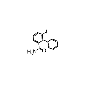 NC(=O)c1cccc(I)c1-c1ccccc1